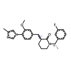 COc1cc(/C=C2\CCCN([C@@H](C)c3cccc(F)c3)C2=O)ccc1-n1cnc(C)c1